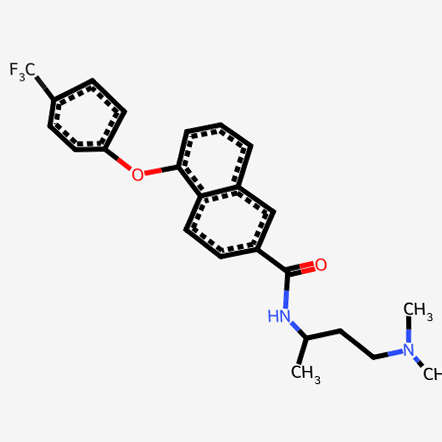 CC(CCN(C)C)NC(=O)c1ccc2c(Oc3ccc(C(F)(F)F)cc3)cccc2c1